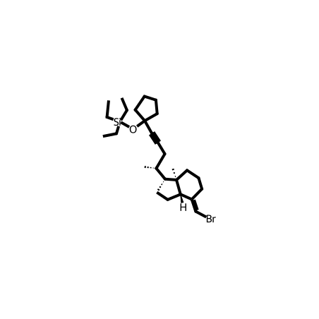 CC[Si](CC)(CC)OC1(C#CC[C@@H](C)[C@H]2CC[C@H]3/C(=C/Br)CCC[C@]23C)CCCC1